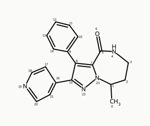 CC1CCNC(=O)c2c(-c3ccccc3)c(-c3ccncc3)nn21